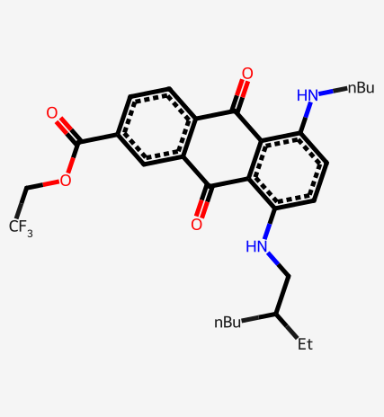 CCCCNc1ccc(NCC(CC)CCCC)c2c1C(=O)c1ccc(C(=O)OCC(F)(F)F)cc1C2=O